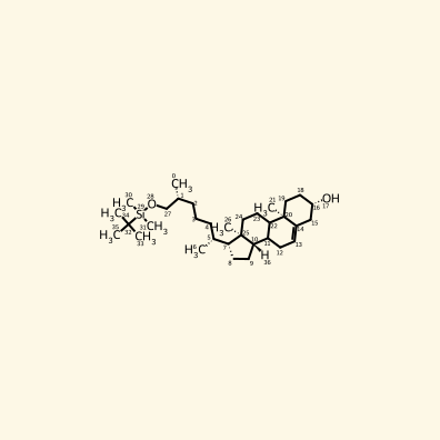 C[C@H](CCC[C@@H](C)[C@H]1CC[C@H]2C3CC=C4C[C@@H](O)CC[C@]4(C)C3CC[C@]12C)CO[Si](C)(C)C(C)(C)C